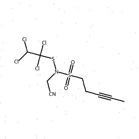 CC#CCCS(=O)(=O)N(CC#N)SC(Cl)(Cl)C(Cl)Cl